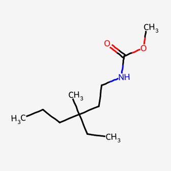 CCCC(C)(CC)CCNC(=O)OC